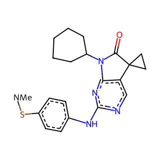 CNSc1ccc(Nc2ncc3c(n2)N(C2CCCCC2)C(=O)C32CC2)cc1